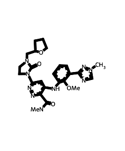 CNC(=O)c1nnc(N2CCN(CC3CCCO3)C2=O)cc1Nc1cccc(-c2ncn(C)n2)c1OC